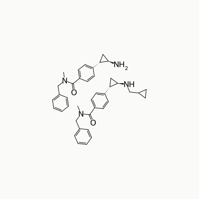 CN(Cc1ccccc1)C(=O)c1ccc([C@@H]2C[C@H]2N)cc1.CN(Cc1ccccc1)C(=O)c1ccc([C@@H]2C[C@H]2NCC2CC2)cc1